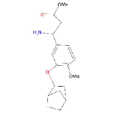 COC(=O)CC(N)c1ccc(OC)c(OC2CC3CCC2C3)c1